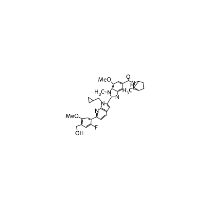 COc1cc(-c2ccc3cc(-c4nc5cc(C(=O)N6CC7CCC6[C@@H]7C)cc(OC)c5n4C)n(CC4CC4)c3n2)c(F)cc1CO